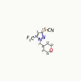 N#CSc1cc(C(F)(F)F)n(CC2CCOCC2)n1